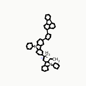 C=Cc1c(/C=C(\C)c2ccc3c(c2)c2cc(-c4cccc(-c5ccc6c7c(cccc57)-c5ccccc5-6)c4)ccc2n3-c2ccccc2)c2ccccc2n1-c1ccccc1